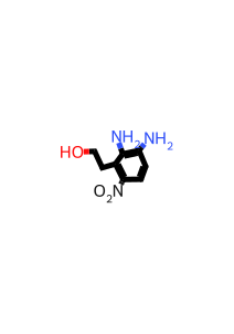 Nc1ccc([N+](=O)[O-])c(CCO)c1N